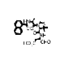 C[C@H](NC(=O)c1cccc2ccccc12)C(=O)N1CSC(C)(C)[C@H]1C(=O)N[C@H](C=O)CC(=O)O